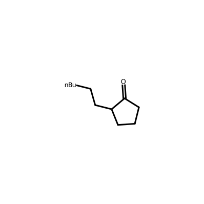 CCCCCCC1CCCC1=O